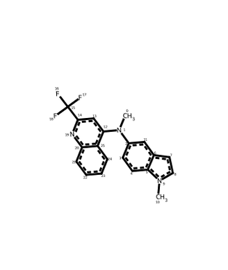 CN(c1ccc2c(ccn2C)c1)c1cc(C(F)(F)F)nc2ccccc12